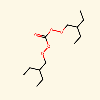 CCC(CC)COOC(=O)OOCC(CC)CC